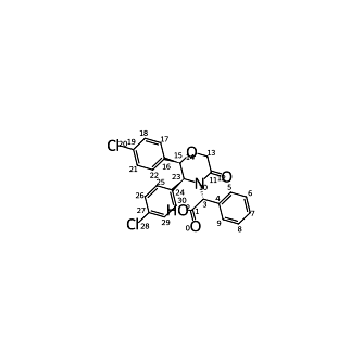 O=C(O)[C@@H](c1ccccc1)N1C(=O)CO[C@H](c2ccc(Cl)cc2)[C@@H]1c1ccc(Cl)cc1